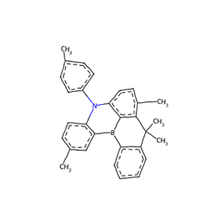 Cc1ccc(N2c3ccc(C)cc3B3c4ccccc4C(C)(C)c4c(C)ccc2c43)cc1